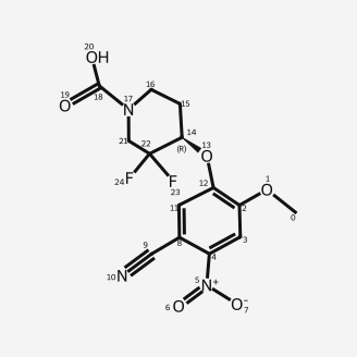 COc1cc([N+](=O)[O-])c(C#N)cc1O[C@@H]1CCN(C(=O)O)CC1(F)F